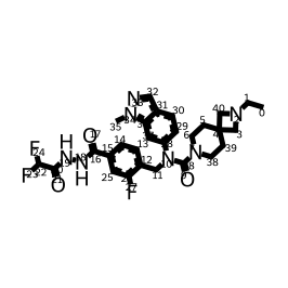 CCN1CC2(CCN(C(=O)N(Cc3ccc(C(=O)NNC(=O)C(F)F)cc3F)c3ccc4cnn(C)c4c3)CC2)C1